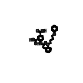 O=C(Cc1ccccc1OCCCCOc1ccccc1)Nc1ccc(C(=O)O)cc1C(=O)O